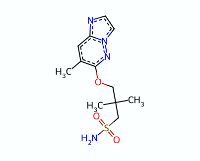 Cc1cc2nccn2nc1OCC(C)(C)CS(N)(=O)=O